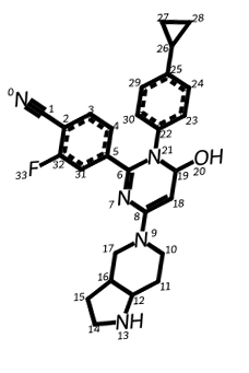 N#Cc1ccc(C2=NC(N3CCC4NCCC4C3)=CC(O)N2c2ccc(C3CC3)cc2)cc1F